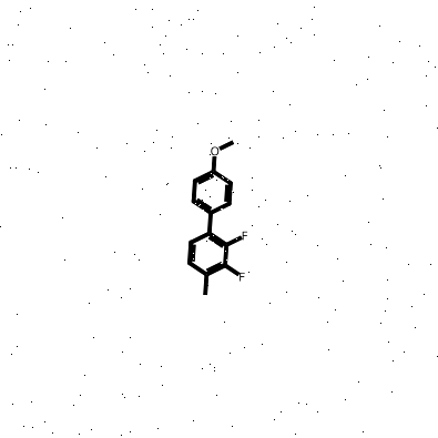 COc1ccc(-c2ccc(C)c(F)c2F)cc1